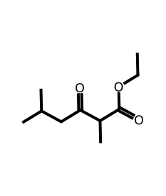 CCOC(=O)C(C)C(=O)CC(C)C